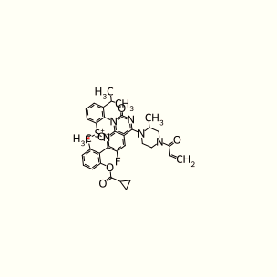 C=CC(=O)N1CCN(c2nc(=O)n(-c3c(C(C)C)cccc3[S+](C)[O-])c3nc(-c4c(F)cccc4OC(=O)C4CC4)c(F)cc23)C(C)C1